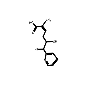 CC(=CCC(O)C(S)c1ccccn1)C(=O)O